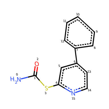 NC(=O)Sc1cc(-c2ccccc2)ccn1